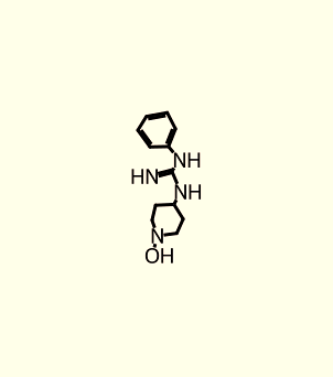 N=C(Nc1ccccc1)NC1CCN(O)CC1